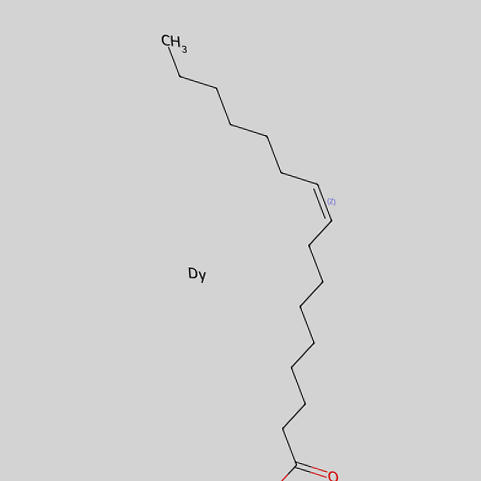 CCCCCC/C=C\CCCCCCCC(=O)O.[Dy]